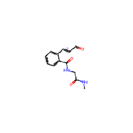 CNC(=O)CNC(=O)c1ccccc1/C=C/[C]=O